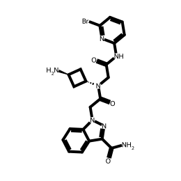 NC(=O)c1nn(CC(=O)N(CC(=O)Nc2cccc(Br)n2)[C@H]2C[C@H](N)C2)c2ccccc12